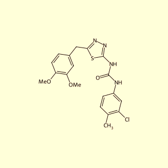 COc1ccc(Cc2nnc(NC(=O)Nc3ccc(C)c(Cl)c3)s2)cc1OC